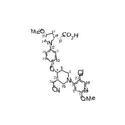 COc1cc(N2CCC(Oc3ccc(N4C[C@H](OC)C[C@@H]4CC(=O)O)cc3)C(CC#N)C2)c(Cl)cn1